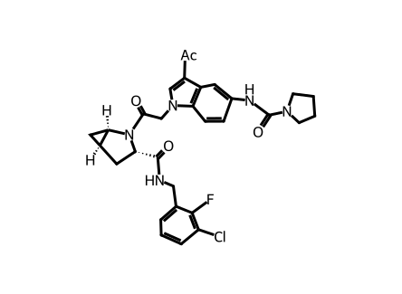 CC(=O)c1cn(CC(=O)N2[C@@H]3C[C@@H]3C[C@H]2C(=O)NCc2cccc(Cl)c2F)c2ccc(NC(=O)N3CCCC3)cc12